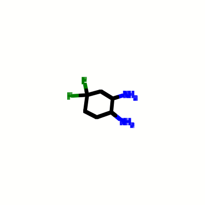 NC1CCC(F)(F)CC1N